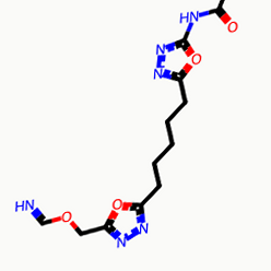 CC(=O)Nc1nnc(CCCCCc2nnc(COC=N)o2)o1